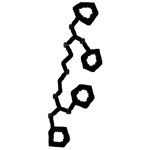 c1ccc(OC(OCCOCCOC(Oc2ccccc2)Oc2ccccc2)Oc2ccccc2)cc1